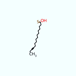 CCC#CCCCCCCCCCCCC(O)=S